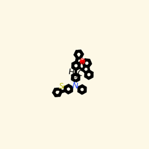 CC1(c2c(-c3ccc(N(c4ccccc4)c4ccc5c(c4)sc4ccccc45)cc3)ccc3c2oc2ccccc23)c2ccccc2-c2ccccc21